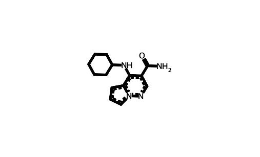 NC(=O)c1cnn2cccc2c1NC1CCCCC1